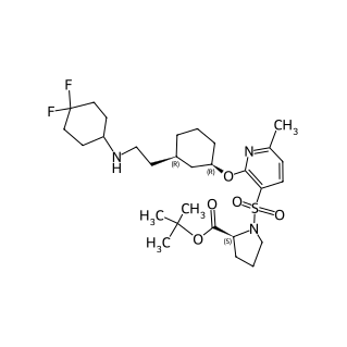 Cc1ccc(S(=O)(=O)N2CCC[C@H]2C(=O)OC(C)(C)C)c(O[C@@H]2CCC[C@H](CCNC3CCC(F)(F)CC3)C2)n1